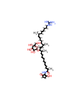 C\C(=C/C=C/C=C/C=C/C=C/C(C)C(OC1OC(CO)C(O)C(O)C1O)/C(C)=C/C(C)CCC/C=C/C(C)C/C=C/CCCNC(=N)N)C(=O)NC1=C(O)CCC1=O